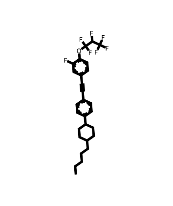 CCCCCC1CCC(c2ccc(C#Cc3ccc(OC(F)(F)C(F)C(F)(F)F)c(F)c3)cc2)CC1